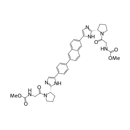 COC(=O)NCC(=O)N1CCC[C@H]1c1ncc(-c2ccc(-c3ccc4cc(-c5cnc([C@@H]6CCCN6C(=O)CNC(=O)OC)[nH]5)ccc4c3)cc2)[nH]1